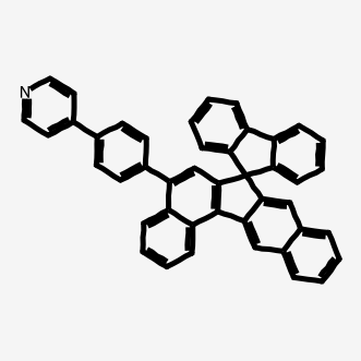 c1ccc2c(c1)-c1ccccc1C21c2cc3ccccc3cc2-c2c1cc(-c1ccc(-c3ccncc3)cc1)c1ccccc21